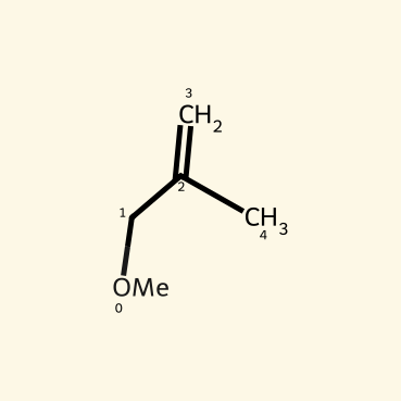 [CH2]OCC(=C)C